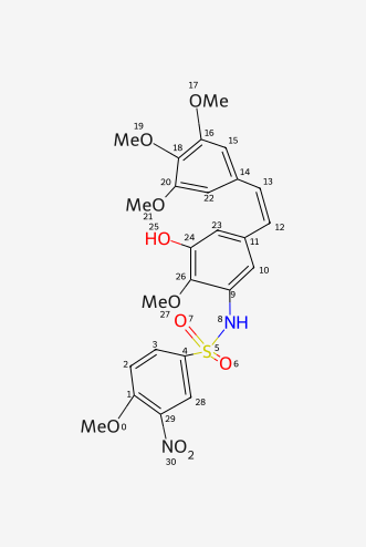 COc1ccc(S(=O)(=O)Nc2cc(/C=C\c3cc(OC)c(OC)c(OC)c3)cc(O)c2OC)cc1[N+](=O)[O-]